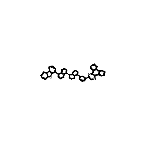 C1=CC2Sc3c(-c4cccc5c(-c6cccc7c(-c8cccc(-c9cnc%10c%11ccccc%11c%11ccccc%11c%10n9)c8)cccc67)cccc45)cccc3C2C=C1